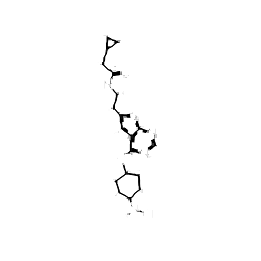 CN(C)C1CCC(Oc2ncnc3sc(CCNC(=O)CC4CC4)cc23)CC1